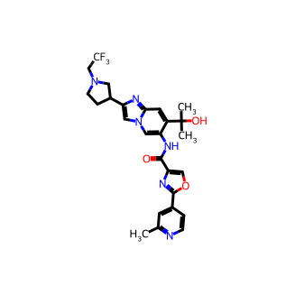 Cc1cc(-c2nc(C(=O)Nc3cn4cc(C5CCN(CC(F)(F)F)C5)nc4cc3C(C)(C)O)co2)ccn1